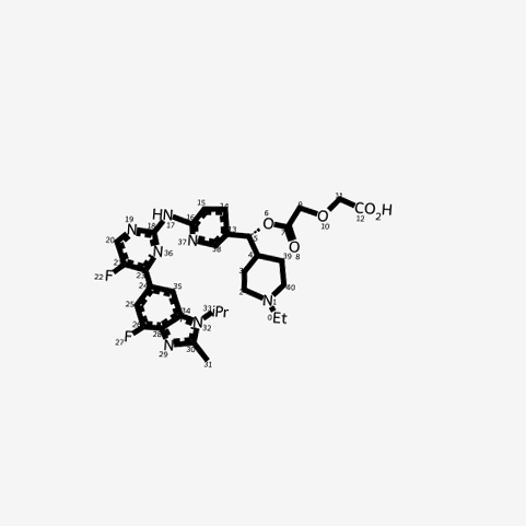 CCN1CCC([C@@H](OC(=O)COCC(=O)O)c2ccc(Nc3ncc(F)c(-c4cc(F)c5nc(C)n(C(C)C)c5c4)n3)nc2)CC1